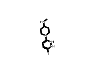 CNC1CCN(C2=CC=C(I)NN2)CC1